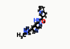 CC(C)CN1CCCC(C(=O)Nc2cc3cc(-c4cn(C)nn4)cnc3cn2)C1